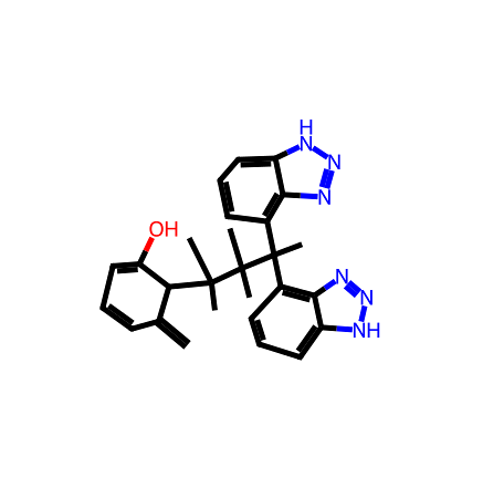 C=C1C=CC=C(O)C1C(C)(C)C(C)(C)C(C)(c1cccc2[nH]nnc12)c1cccc2[nH]nnc12